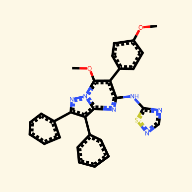 COc1ccc(-c2c(Nc3ncns3)nc3c(-c4ccccc4)c(-c4ccccc4)nn3c2OC)cc1